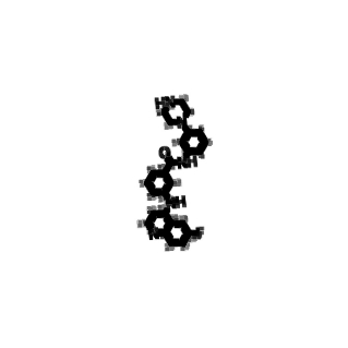 O=C(Nc1cccc(N2CCNCC2)c1)c1cccc(Nc2ccnc3ccc(F)cc23)c1